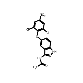 O=C(Nc1n[nH]c2ccc(Oc3c(Cl)cc([N+](=O)[O-])cc3Cl)cc12)C(F)(F)F